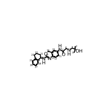 CC(C)(O)CNCC(=O)Nc1ccc2c(c1)COC(NC1CCCc3ccccc31)=N2